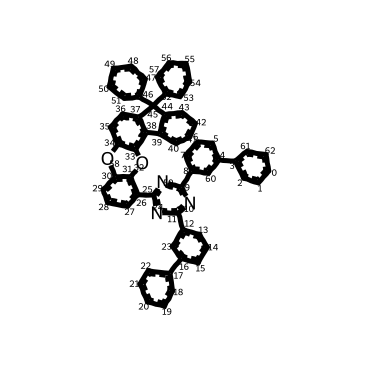 c1ccc(-c2cccc(-c3nc(-c4cccc(-c5ccccc5)c4)nc(-c4cccc5c4Oc4c(ccc6c4-c4ccccc4C6(c4ccccc4)c4ccccc4)O5)n3)c2)cc1